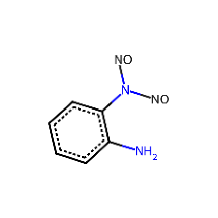 Nc1ccccc1N(N=O)N=O